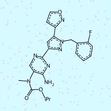 CC(C)OC(=O)N(C)c1cnc(-c2cc(-c3ccon3)n(Cc3ccccc3F)n2)nc1N